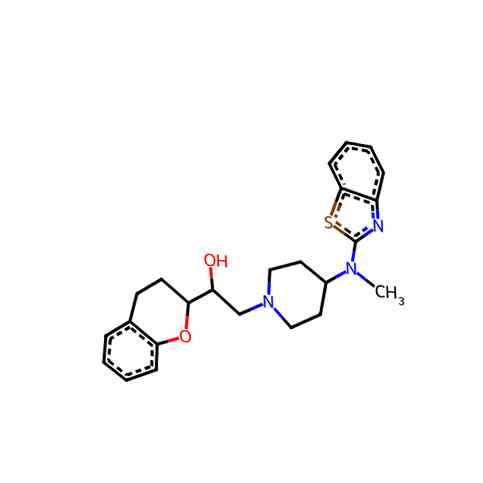 CN(c1nc2ccccc2s1)C1CCN(CC(O)C2CCc3ccccc3O2)CC1